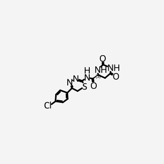 O=C1C[C@@H](C(=O)NC2=NN=C(c3ccc(Cl)cc3)CS2)NC(=O)N1